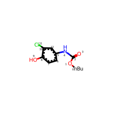 CCCCOC(=O)Nc1ccc(O)c(Cl)c1